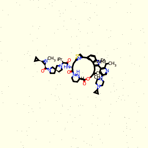 CCn1c(-c2cc(N3CCN(C4CC4)CC3)cnc2[C@H](C)OC)c2c3cc(ccc31)-c1csc(n1)C[C@H](NC(=O)[C@H](C(C)C)N1CC[C@]3(CCN(C(=O)[C@H]4[C@@H](C5CC5)N4C)C3)C1)C(=O)N1CCC[C@H](N1)C(=O)OCC(C)(C)C2